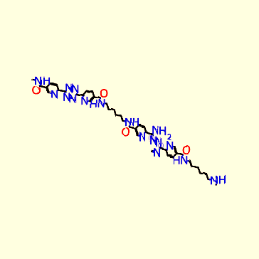 C=N/C(=N\N=C(/N)c1ccc(C(=O)NCCCCCCNC(=O)c2ccc(-c3nnc(-c4ccc(C(=O)NC)cn4)nn3)nc2)cn1)c1ccc(C(=O)NCCCCCCNC)cn1